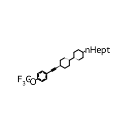 CCCCCCC[C@H]1CC[C@H]([C@H]2CC[C@H](C#Cc3ccc(OC(F)(F)F)cc3)CC2)CC1